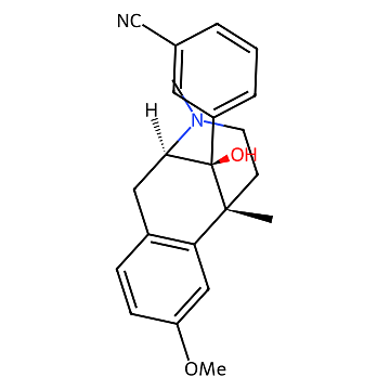 COc1ccc2c(c1)[C@@]1(C)CCN(C)[C@H](C2)[C@]1(O)c1cccc(C#N)c1